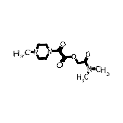 CN1CCN(C(=O)C(=O)OCC(=O)N(C)C)CC1